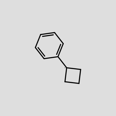 c1ccc([C]2CCC2)cc1